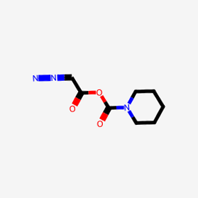 [N-]=[N+]=CC(=O)OC(=O)N1CCCCC1